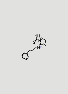 NC(=S)N1CCS/C1=N/CCCc1ccccc1